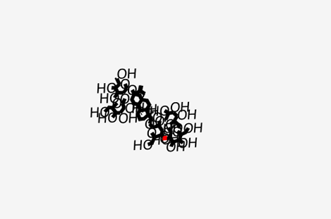 C=C1C[C@@]23CC[C@H]4[C@@](C)(CCC[C@@]4(C)C(=O)OC4OC(CO)C(O)C(OC5OC(CO)C(O)C(O)C5O)C4OC4OC(CO)C(O)C(O)C4O)[C@@H]2CCC1(OC1OC(CO)C(O)C(O)C1OC1OC(CO)C(O)C(O)C1O)C3